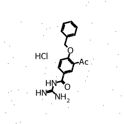 CC(=O)c1cc(C(=O)NC(=N)N)ccc1OCc1ccccc1.Cl